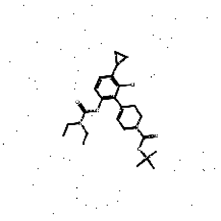 CCN(CC)C(=O)Oc1ccc(C2CC2)c(Cl)c1C1=CCN(C(=O)OC(C)(C)C)CC1